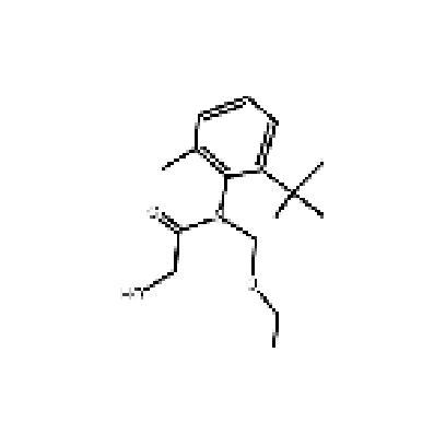 CCOCN(C(=O)CO)c1c(C)cccc1C(C)(C)C